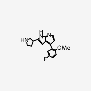 COc1ccc(F)cc1-c1ccnc2[nH]c(C3CCNC3)cc12